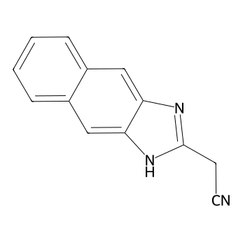 N#CCc1nc2cc3ccccc3cc2[nH]1